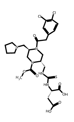 COC(=O)N1C[C@@H](CN2CCCC2)N(C(=O)Cc2ccc(Cl)c(Cl)c2)C[C@@H]1CNC(=S)N[C@@H](CC(=O)O)C(=O)O